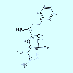 COC(=O)C(OC(=O)N(C)CCc1ccccc1)C(F)(F)F